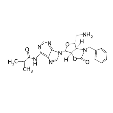 CC(C)C(=O)Nc1ncnc2c1ncn2[C@@H]1O[C@H](CN)[C@@H]2[C@H]1OC(=O)N2Cc1ccccc1